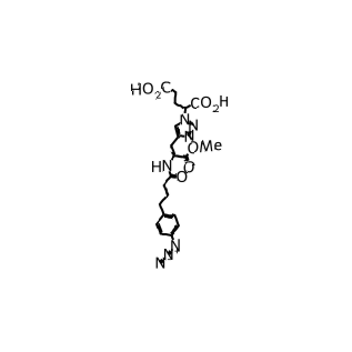 COC(=O)C(Cc1cn(C(CCC(=O)O)C(=O)O)nn1)NC(=O)CCCc1ccc(N=[N+]=[N-])cc1